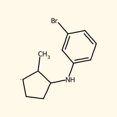 CC1[CH]CCC1Nc1cccc(Br)c1